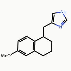 COc1ccc2c(c1)CCCC2Cc1c[nH]cn1